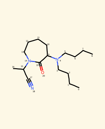 CCCCN(CCCC)C1CCCCN(C(C)C#N)C1=O